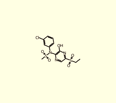 CCS(=O)(=O)c1cnc(N(c2cccc(Cl)c2)S(C)(=O)=O)c(O)n1